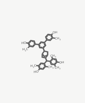 Cc1cc(-c2cc(-c3ccc(O)c(C)c3)cc(C3CC4CC3CC4C(c3cc(C)c(O)cc3C)c3cc(C)c(O)cc3C)c2)ccc1O